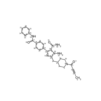 CC#CC(=O)N1CCC(Cc2nc(-c3ccc(C(=O)Nc4ccccn4)cc3)c(C(N)=O)n2N)CC1